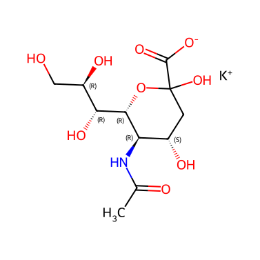 CC(=O)N[C@H]1[C@H]([C@H](O)[C@H](O)CO)OC(O)(C(=O)[O-])C[C@@H]1O.[K+]